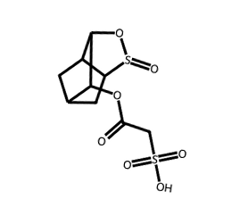 O=C(CS(=O)(=O)O)OC1C2CC3C1OS(=O)C3C2